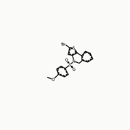 COc1ccc(S(=O)(=O)N2Cc3ccccc3-c3sc(Br)cc32)cc1